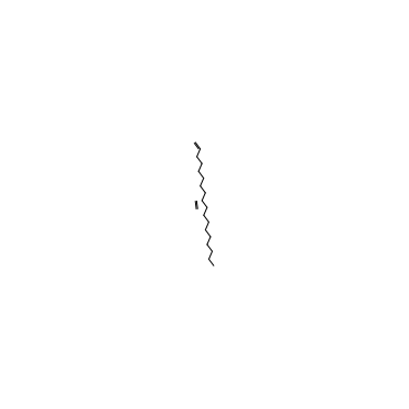 C=C.C=CCCCCCCCCCCCCCCCC